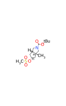 CC(C)(C)OC(=O)N1C[C@H]2C[C@@H](OS(C)(=O)=O)C[C@@]2(C)C1